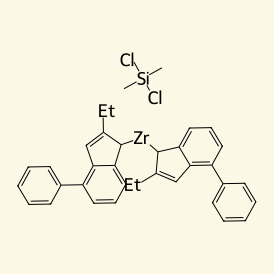 CCC1=Cc2c(-c3ccccc3)cccc2[CH]1[Zr][CH]1C(CC)=Cc2c(-c3ccccc3)cccc21.C[Si](C)(Cl)Cl